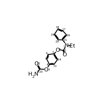 CCN(C(=O)Oc1ccc(OC(N)=O)cc1)c1ccccc1